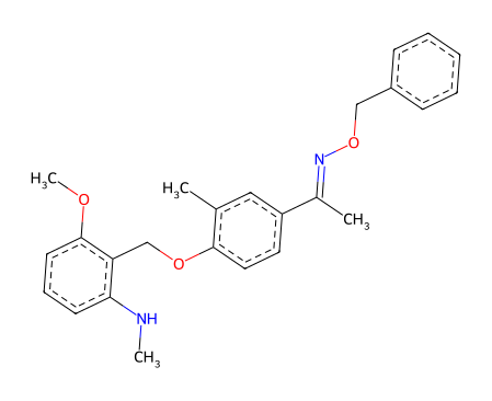 CNc1cccc(OC)c1COc1ccc(C(C)=NOCc2ccccc2)cc1C